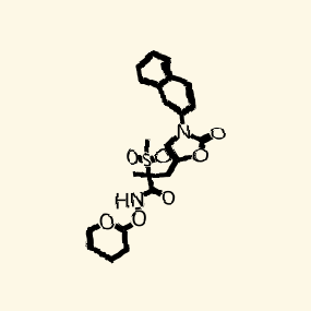 CC(CC1CN(c2ccc3ccccc3c2)C(=O)O1)(C(=O)NOC1CCCCO1)S(C)(=O)=O